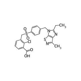 CCc1nc2c(C)nsc2n1Cc1ccc(S(=O)(=O)Cc2cccc(C(=O)O)c2Cl)cc1